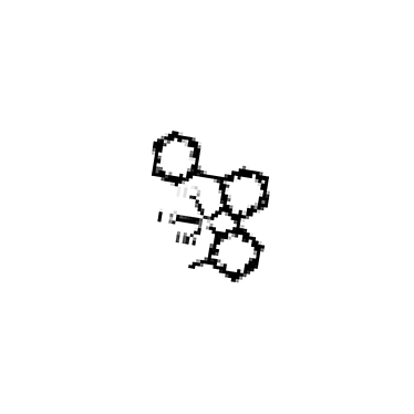 Cc1ccccc1P(O)(O)(O)c1c(C)cccc1-c1ccccc1